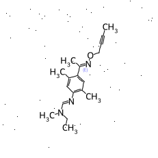 CC#CCO/N=C(\C)c1cc(C)c(N=CN(C)CC)cc1C